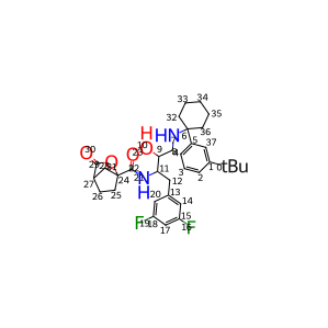 CC(C)(C)c1cccc(C2(NCC(O)C(Cc3cc(F)cc(F)c3)NC(=O)C34CCC(C3)C(=O)O4)CCCCC2)c1